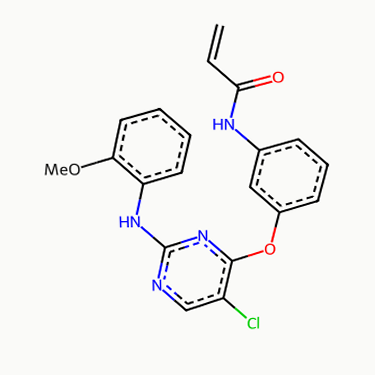 C=CC(=O)Nc1cccc(Oc2nc(Nc3ccccc3OC)ncc2Cl)c1